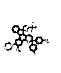 CCC1(OCC(F)(F)F)c2ccccc2-c2c1c1c(c3cc(OC)c(N4CCOCC4)cc23)OC(c2ccc(F)cc2)(c2ccc(OC)cc2)C=C1